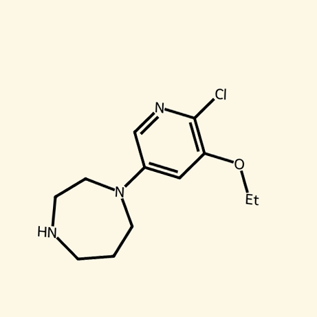 CCOc1cc(N2CCCNCC2)cnc1Cl